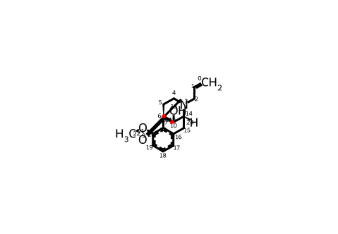 C=CCN1CC[C@]23CC(=O)CCC2(O)[C@H]1Cc1cccc(OC)c13